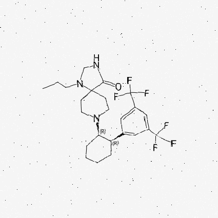 CCCN1CNC(=O)C12CCN([C@@H]1CCCC[C@@H]1c1cc(C(F)(F)F)cc(C(F)(F)F)c1)CC2